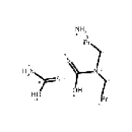 CC(C)CN(CC(C)C)C(O)=S.N.NC(O)=S